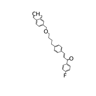 C=Cc1ccc(COCCCCc2ccc(C=CC(=O)c3ccc(F)cc3)cc2)cc1